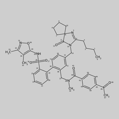 CCCCC1=NC2(CCCC2)C(=O)N1Cc1ccc(-c2ccccc2S(=O)(=O)Nc2onc(C)c2C)c(CN(C)C(=O)c2ccc(C(C)=O)cc2)c1